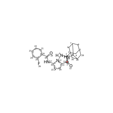 NC(=O)C12CC3CC(C1)C(NC(=O)c1csc(NC(=O)c4ccccc4F)n1)C(C3)C2